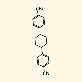 CCCCc1ccc([C@H]2CC[C@H](c3ccc(C#N)cc3)CC2)cc1